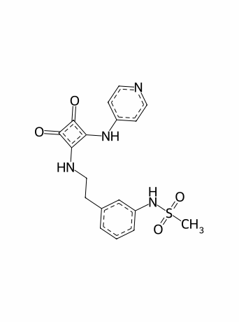 CS(=O)(=O)Nc1cccc(CCNc2c(Nc3ccncc3)c(=O)c2=O)c1